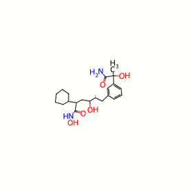 CC(O)(C(N)=O)c1cccc(C[CH]C(O)CC(C(=O)NO)C2CCCCC2)c1